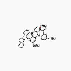 CC(C)(C)c1ccc(N2c3cc(C(C)(C)C)ccc3B3c4c2cc(C(C)(C)C)cc4-n2c4c3cccc4c3oc4ccccc4c32)c(-c2ccccc2)c1